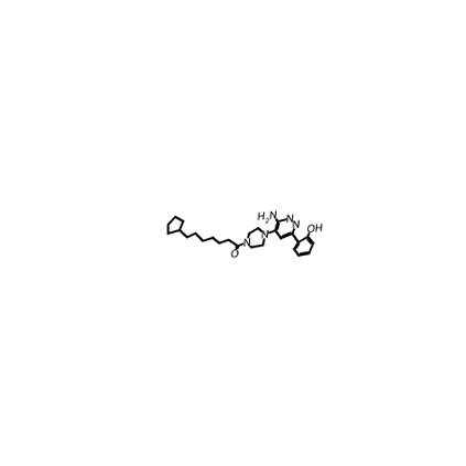 Nc1nnc(-c2ccccc2O)cc1N1CCN(C(=O)CCCCCCC2CCCC2)CC1